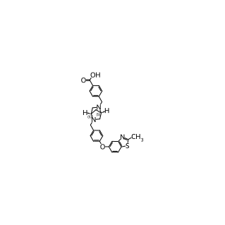 Cc1nc2cc(Oc3ccc(CN4C[C@@H]5C[C@H]4CN5Cc4ccc(C(=O)O)cc4)cc3)ccc2s1